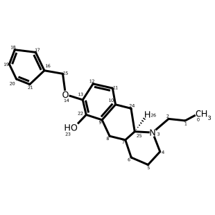 CCCN1CCCC2Cc3c(ccc(OCc4ccccc4)c3O)C[C@H]21